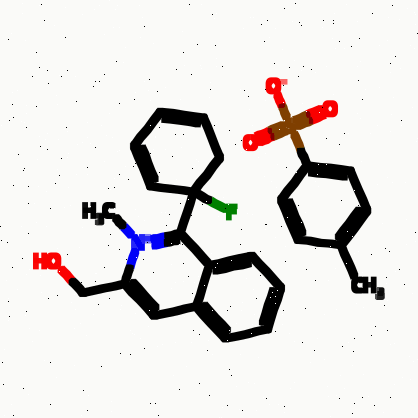 C[n+]1c(CO)cc2ccccc2c1C1(F)C=CC=CC1.Cc1ccc(S(=O)(=O)[O-])cc1